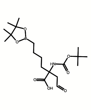 CC(C)(C)OC(=O)NC(CC=O)(CCCCB1OC(C)(C)C(C)(C)O1)C(=O)O